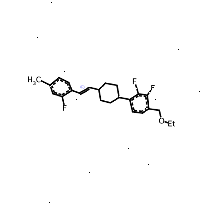 CCOCc1ccc(C2CCC(/C=C/c3ccc(C)cc3F)CC2)c(F)c1F